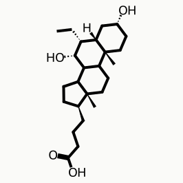 CC[C@H]1[C@@H](O)C2C3CC[C@H](CCCC(=O)O)[C@@]3(C)CCC2[C@@]2(C)CC[C@@H](O)C[C@@H]12